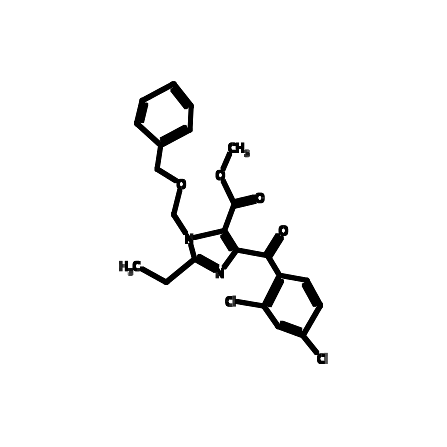 CCc1nc(C(=O)c2ccc(Cl)cc2Cl)c(C(=O)OC)n1COCc1ccccc1